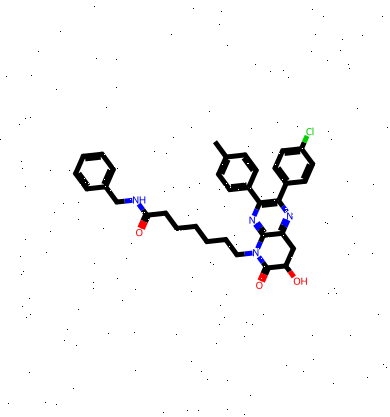 Cc1ccc(-c2nc3c(nc2-c2ccc(Cl)cc2)CC(O)C(=O)N3CCCCCCC(=O)NCc2ccccc2)cc1